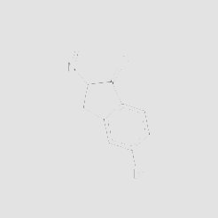 O=NC1Cc2cc(Br)ccc2C1=O